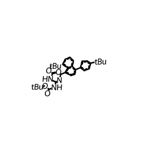 CC(C)(C)OC(=O)NC(=NCc1ccc(-c2ccc(C(C)(C)C)cc2)c2ccccc12)NC(=O)OC(C)(C)C